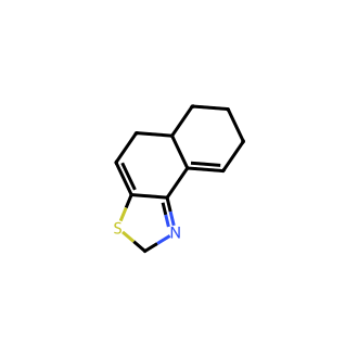 C1=C2SCN=C2C2=CCCCC2C1